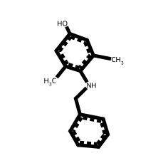 Cc1cc(O)cc(C)c1NCc1ccccc1